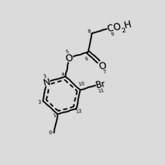 Cc1cnc(OC(=O)CC(=O)O)c(Br)c1